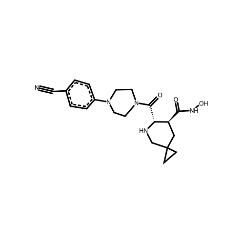 N#Cc1ccc(N2CCN(C(=O)[C@H]3NCC4(CC4)C[C@@H]3C(=O)NO)CC2)cc1